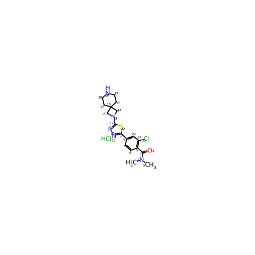 CN(C)C(=O)c1ccc(-c2nnc(N3CC4(CCNCC4)C3)s2)cc1Cl.Cl